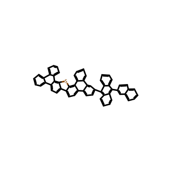 c1ccc2cc(-c3c4ccccc4c(-c4ccc5c(c4)c4ccccc4c4c5ccc5c6ccc7c8ccccc8c8ccccc8c7c6sc54)c4ccccc34)ccc2c1